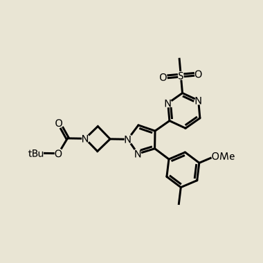 COc1cc(C)cc(-c2nn(C3CN(C(=O)OC(C)(C)C)C3)cc2-c2ccnc(S(C)(=O)=O)n2)c1